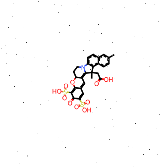 Cc1ccc2c3c(ccc2c1)N1CCC2OC4=C(S(=O)(=O)O)C(=O)C(S(=O)(=O)O)=CC4=CC2=C1C3(C)CC(=O)O